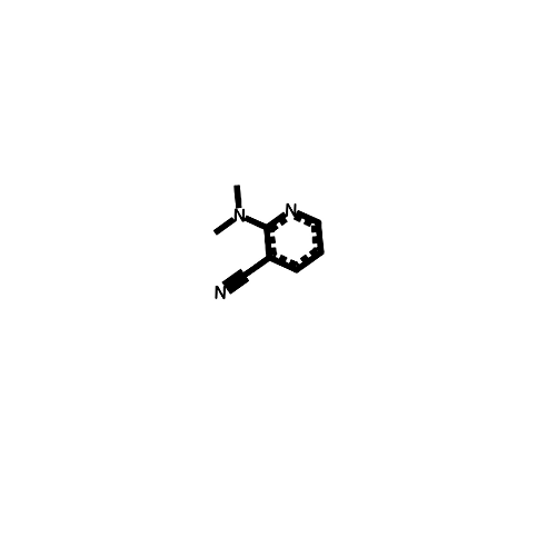 CN(C)c1ncccc1C#N